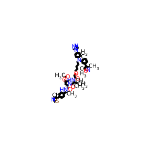 CC(=O)O[C@@H]1C[C@@H](C(=O)N[C@@H](C)c2ccc(-c3scnc3C)cc2)N(C(=O)[C@@H](NC(=O)COCCCCCN(c2ccc(-n3cnnc3)cc2)c2cc(-c3c(C)noc3C)ccc2C)C(C)(C)C)C1